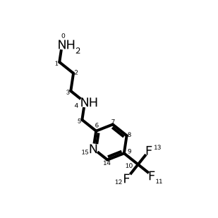 NCCCNCc1ccc(C(F)(F)F)cn1